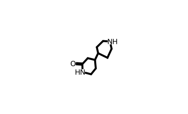 O=C1CC(C2CCNCC2)CCN1